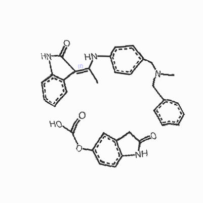 C/C(Nc1ccc(CN(C)Cc2ccccc2)cc1)=C1/C(=O)Nc2ccccc21.O=C1Cc2cc(OC(=O)O)ccc2N1